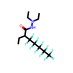 CCC(C(=O)NN(CC)CC)C(F)(F)C(F)(F)C(F)(F)C(F)(F)C(F)(F)F